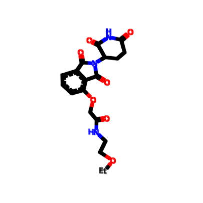 CCOCCNC(=O)COc1cccc2c1C(=O)N(C1CCC(=O)NC1=O)C2=O